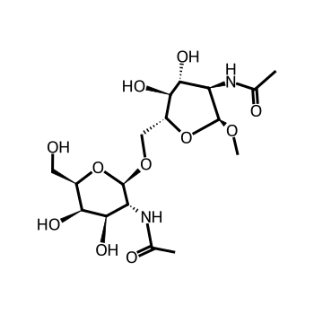 CO[C@H]1O[C@H](CO[C@@H]2O[C@H](CO)[C@H](O)[C@H](O)[C@H]2NC(C)=O)[C@@H](O)[C@H](O)[C@H]1NC(C)=O